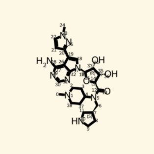 CN1CCC(N(C[C@H]2CCNC2)C(=O)[C@H]2O[C@@H](n3cc(-c4ccn(C)n4)c4c(N)ncnc43)[C@H](O)[C@@H]2O)CC1